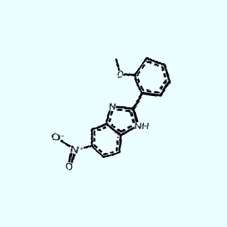 COc1ccccc1-c1nc2cc([N+](=O)[O-])ccc2[nH]1